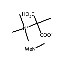 CC(C(=O)[O-])(C(=O)O)[N+](C)(C)C.CNC